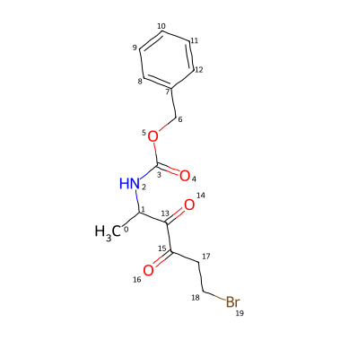 CC(NC(=O)OCc1ccccc1)C(=O)C(=O)CCBr